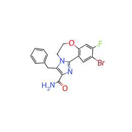 NC(=O)c1nc2n(c1Cc1ccccc1)CCOc1cc(F)c(Br)cc1-2